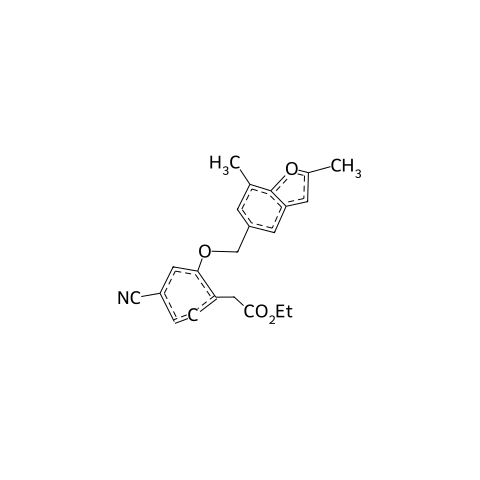 CCOC(=O)Cc1ccc(C#N)cc1OCc1cc(C)c2oc(C)cc2c1